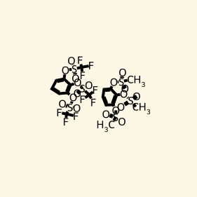 CS(=O)(=O)Oc1cccc(OS(C)(=O)=O)c1OS(C)(=O)=O.O=S(=O)(Oc1cccc(OS(=O)(=O)C(F)(F)F)c1OS(=O)(=O)C(F)(F)F)C(F)(F)F